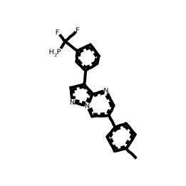 Cc1ccc(-c2cnc3c(-c4cccc(C(F)(F)P)c4)cnn3c2)cc1